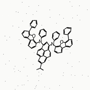 CC(C)c1cc2ccc3c(N(c4ccccc4)c4cccc5c4oc4c(-c6ccccc6)cccc45)cc(N(c4ccccc4)c4cccc5c4oc4c(-c6ccccc6)cccc45)c4ccc(c1)c2c34